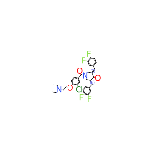 CCN(CC)CCOc1ccc(C(=O)N2C/C(=C\c3ccc(F)c(F)c3)C(=O)/C(=C/c3ccc(F)c(F)c3)C2)cc1Cl